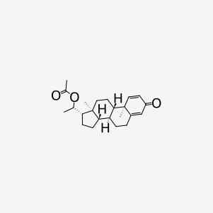 CC(=O)OC(C)[C@H]1CC[C@H]2[C@@H]3CCC4=CC(=O)C=C[C@]4(C)[C@H]3CC[C@]12C